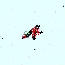 CCCCO[C@H]1[C@H](OCCCC)[C@@H](CO[Si](C)(C)C(C)(C)C)O[C@@](OC)(c2ccc(Cl)c(Cc3ccc(OCC)cc3)c2)[C@@H]1OCCCC